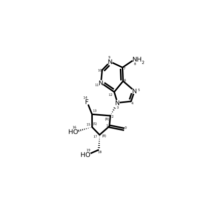 C=C1[C@@H](n2cnc3c(N)ncnc32)C(F)[C@@H](O)[C@H]1CO